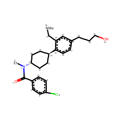 CCN(C(=O)c1ccc(Cl)cc1)[C@H]1CC[C@H](c2ccc(CCCO)cc2CNC)CC1